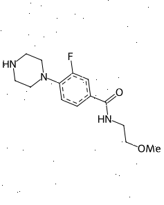 COCCNC(=O)c1ccc(N2CCNCC2)c(F)c1